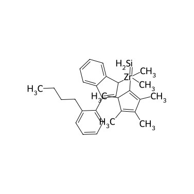 CCCCc1ccccc1C1=C[CH]([Zr]([CH3])([CH3])(=[SiH2])[C]2=C(C)C(C)=C(C)C2C)c2ccccc21